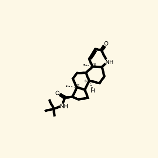 CC(C)(C)NC(=O)C1CCC2[C@@H]3CCC4NC(=O)C=C[C@]4(C)C3CC[C@]12C